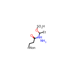 CCCCCCCCCCCC(=O)NC(CC)OS(=O)(=O)O.N